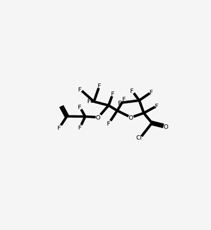 C=C(F)C(F)(F)OC(F)(C(F)(F)F)C(F)(F)OC(F)(C(=O)Cl)C(F)(F)F